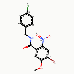 COc1cc(C(=O)NCc2ccc(Cl)cc2)c([N+](=O)[O-])cc1Br